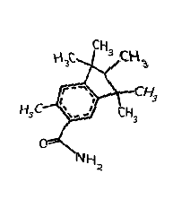 Cc1cc2c(cc1C(N)=O)C(C)(C)C(C)C2(C)C